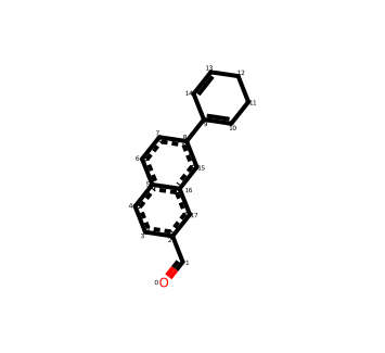 O=Cc1ccc2ccc(C3=CCCC=C3)cc2c1